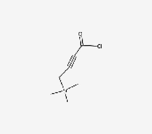 C[Si](C)(C)CC#CC(=O)Cl